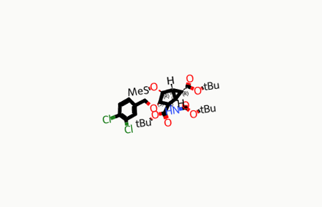 CSO[C@@H]1[C@H]2[C@H](C(=O)OC(C)(C)C)[C@H]2[C@](NC(=O)OC(C)(C)C)(C(=O)OC(C)(C)C)[C@@H]1OCc1ccc(Cl)c(Cl)c1